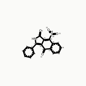 O=C1NC(c2ccccc2)=C2C(=O)c3ccccc3C([SH](=O)=O)=C12